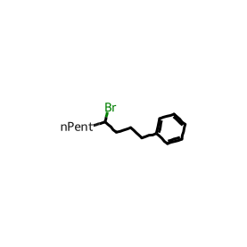 CCCCCC(Br)CCCc1ccccc1